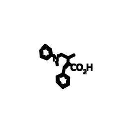 CC(CN(C)c1ccccc1)C(=Cc1ccccc1)C(=O)O